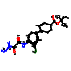 CC(C)(C)OC(=O)C1CCC(c2ccc(NC(=O)C(=O)NN)c(F)c2)CC1